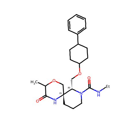 CCNC(=O)N1CCC[C@@]2(COC(C)C(=O)N2)[C@@H]1COC1CCC(c2ccccc2)CC1